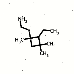 CCC1C(C)(C)CC1(C)CCN